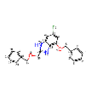 Fc1cc(OCc2ccccc2)c2nc(COCc3ccccc3)[nH]c2c1